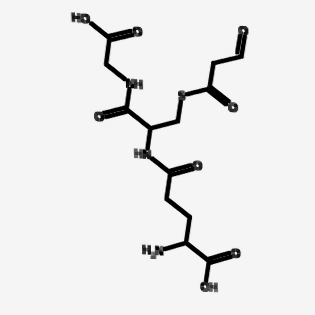 NC(CCC(=O)NC(CSC(=O)CC=O)C(=O)NCC(=O)O)C(=O)O